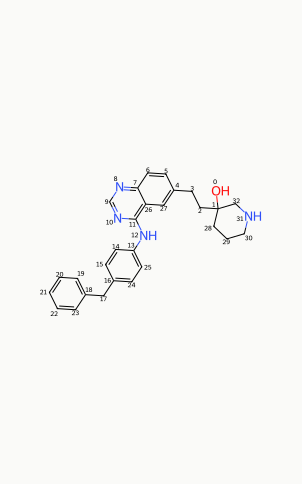 OC1(CCc2ccc3ncnc(Nc4ccc(Cc5ccccc5)cc4)c3c2)CCCNC1